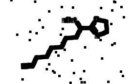 C=CCCCCCCC(CCCCCCCC)C1=NCCO1